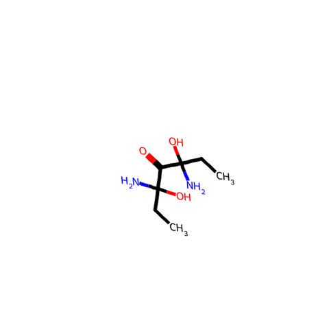 CCC(N)(O)C(=O)C(N)(O)CC